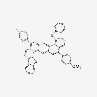 COc1ccc(-c2cc3cc4c(cc(-c5ccc(C)cc5)c5ccc6c7ccccc7sc6c54)cc3c3c2ccc2c4ccccc4sc23)cc1